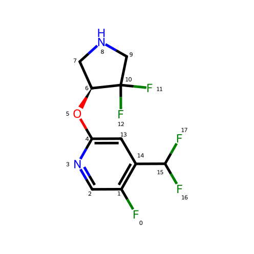 Fc1cnc(O[C@H]2CNCC2(F)F)cc1C(F)F